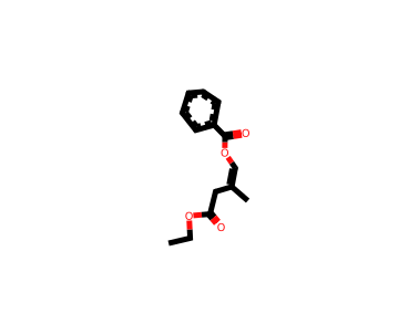 CCOC(=O)CC(C)=COC(=O)c1ccccc1